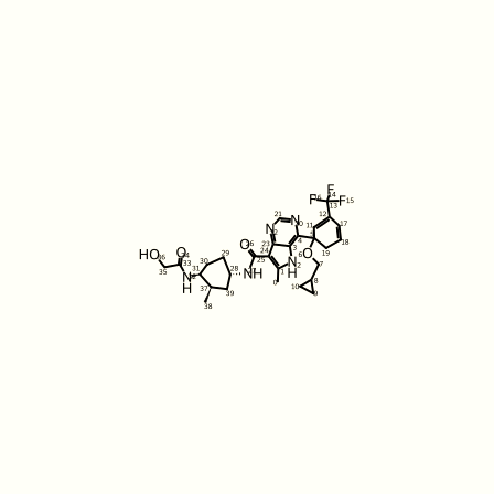 Cc1[nH]c2c(C3(OCC4CC4)C=C(C(F)(F)F)C=CC3)ncnc2c1C(=O)N[C@H]1CC[C@H](NC(=O)CO)[C@H](C)C1